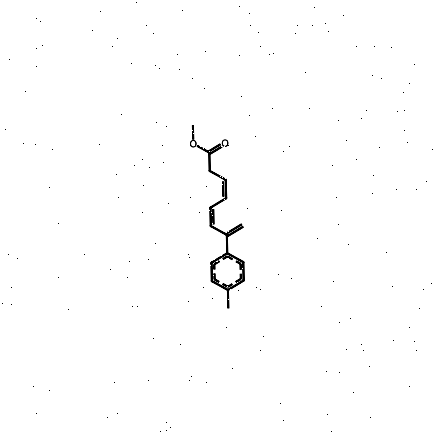 C=C(/C=C\C=C/CC(=O)OC)c1ccc(C)cc1